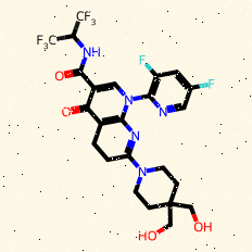 O=C(NC(C(F)(F)F)C(F)(F)F)c1cn(-c2ncc(F)cc2F)c2c(c1=O)CCC(N1CCC(CO)(CO)CC1)=N2